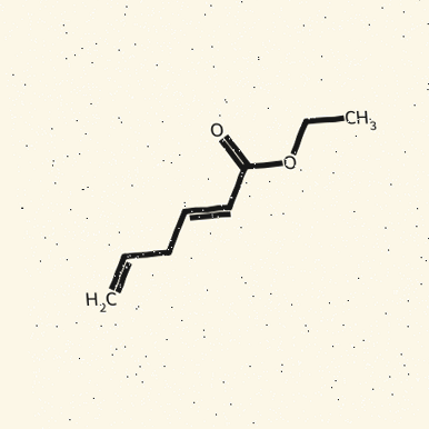 C=CCC=CC(=O)OCC